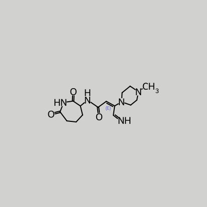 CN1CCN(/C(C=N)=C/C(=O)NC2CCCC(=O)NC2=O)CC1